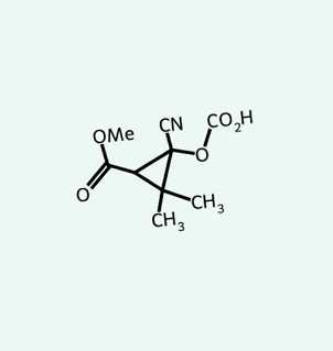 COC(=O)C1C(C)(C)C1(C#N)OC(=O)O